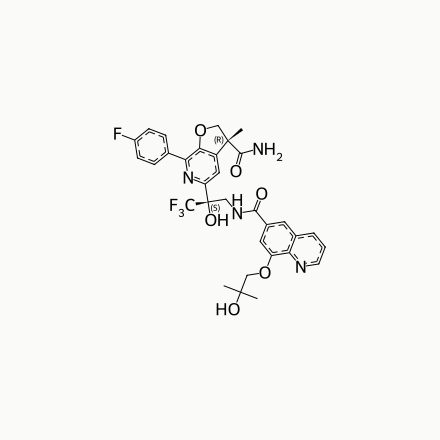 CC(C)(O)COc1cc(C(=O)NC[C@](O)(c2cc3c(c(-c4ccc(F)cc4)n2)OC[C@]3(C)C(N)=O)C(F)(F)F)cc2cccnc12